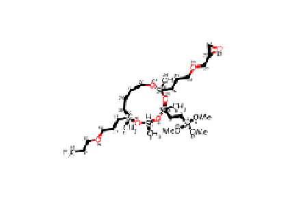 CO[Si](CC[Si]1(C)O[SiH](C)O[Si](C)(CCCOCCC(F)(F)F)CCCCO[Si](C)(CCCOCC2CO2)O1)(OC)OC